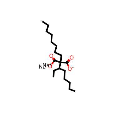 CCCCCCCCC(C(=O)[O-])(C(=O)[O-])C(CC)CCCCC.[Na+].[Na+]